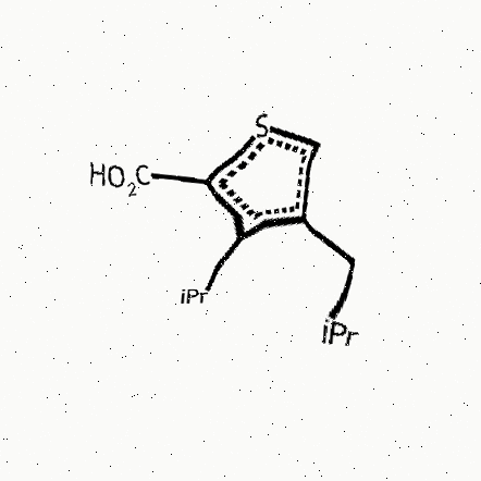 CC(C)Cc1csc(C(=O)O)c1C(C)C